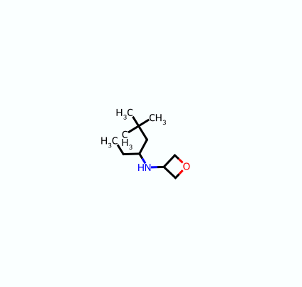 CCC(CC(C)(C)C)NC1COC1